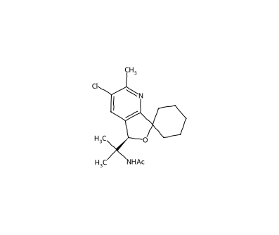 CC(=O)NC(C)(C)[C@@H]1OC2(CCCCC2)c2nc(C)c(Cl)cc21